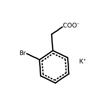 O=C([O-])Cc1ccccc1Br.[K+]